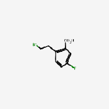 O=C(O)c1cc(F)ccc1CCBr